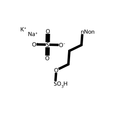 CCCCCCCCCCCCOS(=O)(=O)O.O=S(=O)([O-])[O-].[K+].[Na+]